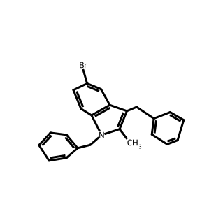 Cc1c(Cc2ccccc2)c2cc(Br)ccc2n1Cc1ccccc1